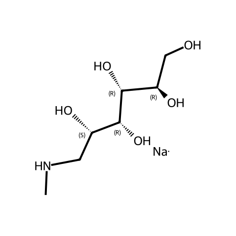 CNC[C@H](O)[C@@H](O)[C@H](O)[C@H](O)CO.[Na]